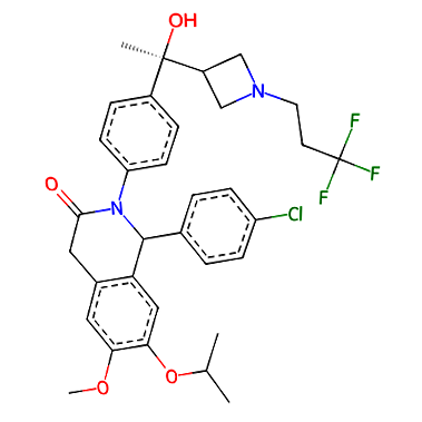 COc1cc2c(cc1OC(C)C)C(c1ccc(Cl)cc1)N(c1ccc([C@@](C)(O)C3CN(CCC(F)(F)F)C3)cc1)C(=O)C2